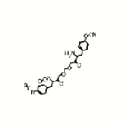 N#COc1ccc(CC(N)C(=O)COCOCC(=O)C(Cc2ccc(N=C=O)cc2)N=C=O)cc1